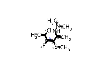 C=C(Cl)/C(F)=C(/SC)C(=C)NN(C)C